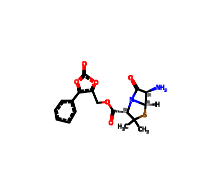 CC1(C)S[C@@H]2[C@H](N)C(=O)N2[C@H]1C(=O)OCc1oc(=O)oc1-c1ccccc1